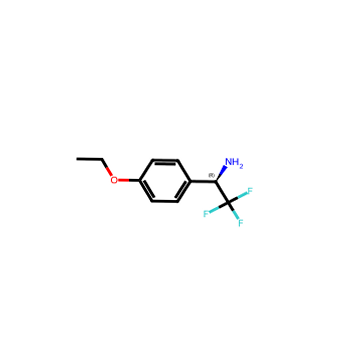 CCOc1ccc([C@@H](N)C(F)(F)F)cc1